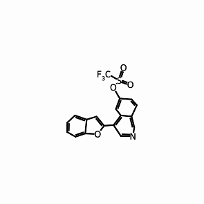 O=S(=O)(Oc1ccc2cncc(-c3cc4ccccc4o3)c2c1)C(F)(F)F